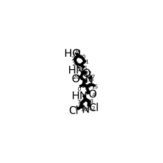 Cc1c(C(=O)Nc2cc(Cl)nc(Cl)c2)c(C)n(C)c1C(=O)C(=O)NC1(C)CCC(O)CC1